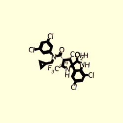 O=C(O)[C@H]1[C@@H](C(=O)N(CC2CC2)c2cc(Cl)cc(Cl)c2)[C@@H](C(F)(F)F)NC12c1cc(Cl)cc(Cl)c1NC2O